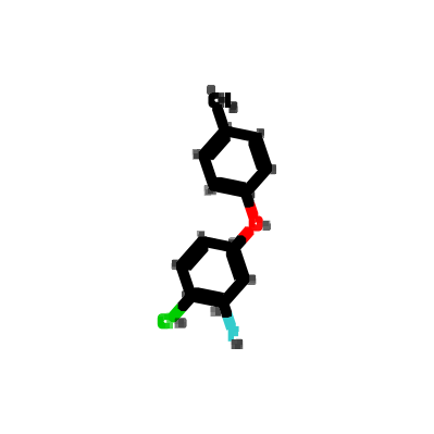 Cc1ccc(Oc2ccc(Cl)c(F)c2)cc1